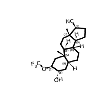 C[C@]12C[C@H](OC(F)(F)F)[C@@H](O)C[C@@H]1CC[C@@H]1[C@@H]2CC[C@]2(C)[C@@H](C#N)CC[C@@H]12